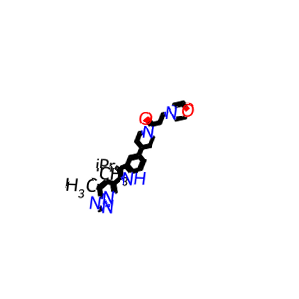 Cc1c(-c2[nH]c3ccc(C4CCN(C(=O)CCN5CCOCC5)CC4)cc3c2C(C)C)cn2ncnc2c1C